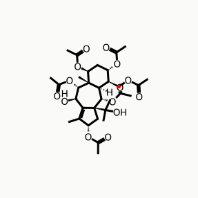 CC(=O)OC[C@H]1[C@H]2[C@H](OC(C)=O)[C@]3(C(C)(C)O)C[C@H](OC(C)=O)C(C)=C3[C@@H](O)[C@H](OC(C)=O)[C@]2(C)[C@@H](OC(C)=O)C[C@@H]1OC(C)=O